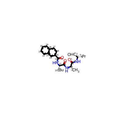 CC(C)[C@@H](C=O)NC(=O)[C@H](C)NC(=O)[C@@H](NC(=O)c1ccc2ccccc2c1)C(C)(C)C